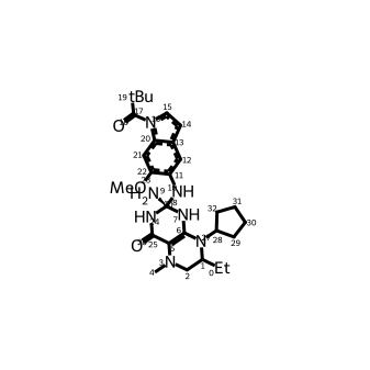 CCC1CN(C)C2=C(N[C@@](N)(Nc3cc4ccn(C(=O)C(C)(C)C)c4cc3OC)NC2=O)N1C1CCCC1